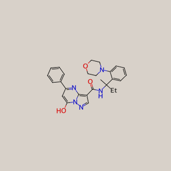 CCC(C)(NC(=O)c1cnn2c(O)cc(-c3ccccc3)nc12)c1ccccc1N1CCOCC1